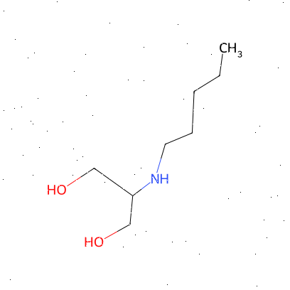 CCCCCNC(CO)CO